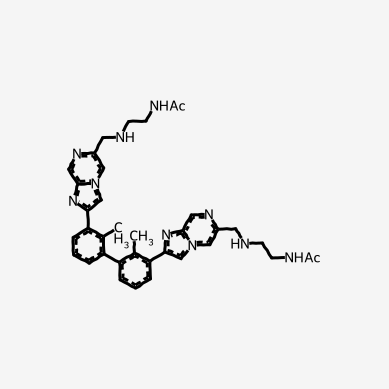 CC(=O)NCCNCc1cn2cc(-c3cccc(-c4cccc(-c5cn6cc(CNCCNC(C)=O)ncc6n5)c4C)c3C)nc2cn1